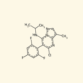 Cc1cnn2c(NC(C)C)c(-c3c(F)cc(F)cc3F)c(Cl)nc12